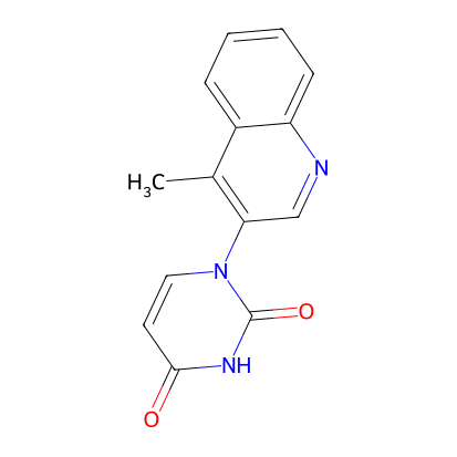 Cc1c(-n2ccc(=O)[nH]c2=O)cnc2ccccc12